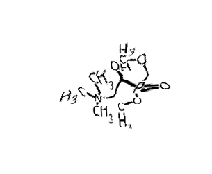 COP(=O)(OC)C(O)C[N+](C)(C)C